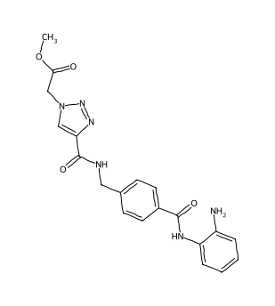 COC(=O)Cn1cc(C(=O)NCc2ccc(C(=O)Nc3ccccc3N)cc2)nn1